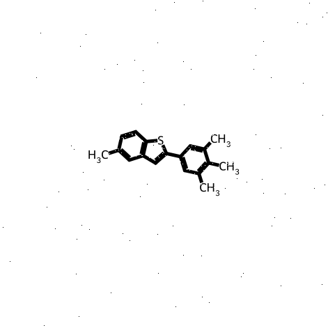 Cc1ccc2sc(-c3cc(C)c(C)c(C)c3)cc2c1